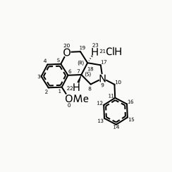 COc1cccc2c1[C@H]1CN(Cc3ccccc3)C[C@@H]1CO2.Cl